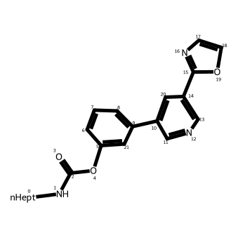 CCCCCCCNC(=O)Oc1cccc(-c2cncc(-c3ncco3)c2)c1